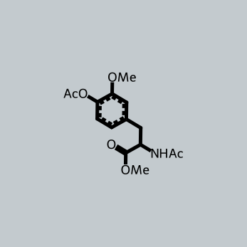 COC(=O)C(Cc1ccc(OC(C)=O)c(OC)c1)NC(C)=O